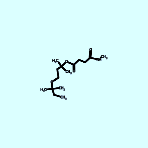 CCC(C)(C)OCCC(C)(C)OC(=O)CCC(=O)NC